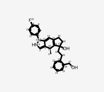 C[C@H]1C2=CNN(c3ccc(F)cc3)C2=CC2=C1C(O)(CCc1ccccc1CO)CC2